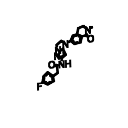 CN1CCc2cc(N3CCn4nc(NC(=O)Cc5ccc(F)cc5)cc43)ccc2C1=O